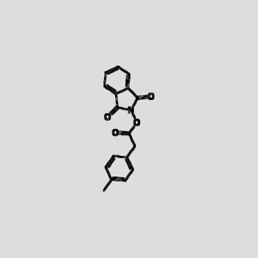 Cc1ccc(CC(=O)ON2C(=O)c3ccccc3C2=O)cc1